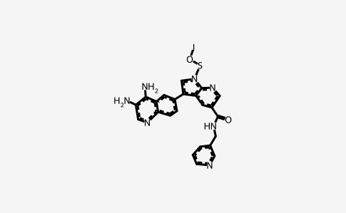 Nc1cnc2ccc(-c3cn(SOI)c4ncc(C(=O)NCc5cccnc5)cc34)cc2c1N